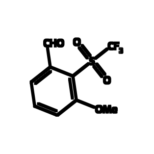 COc1cccc(C=O)c1S(=O)(=O)C(F)(F)F